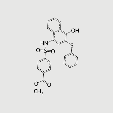 COC(=O)c1ccc(S(=O)(=O)Nc2cc(Sc3ccccc3)c(O)c3ccccc23)cc1